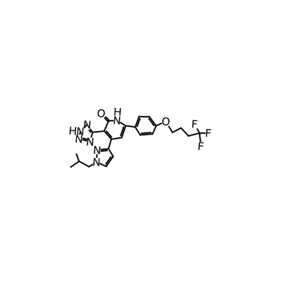 CC(C)Cn1ccc(-c2cc(-c3ccc(OCCCC(F)(F)F)cc3)[nH]c(=O)c2-c2nn[nH]n2)n1